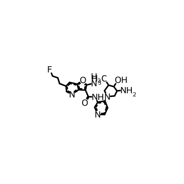 CC1CN(c2ccncc2NC(=O)c2c(N)oc3cc(CCCF)cnc23)CC(N)C1O